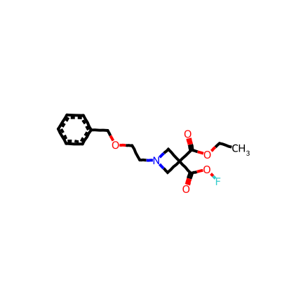 CCOC(=O)C1(C(=O)OF)CN(CCOCc2ccccc2)C1